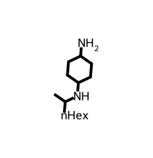 CC[CH]CCCC(C)NC1CCC(N)CC1